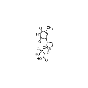 Cc1cn(C2CC[C@H](OC(C(=O)O)P(=O)(O)O)C2)c(=O)[nH]c1=O